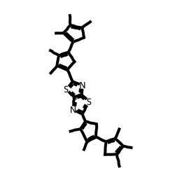 CC1=C(C)C(C)=C(C2=C(C)C(C)=C(c3nc4sc(C5=C(C)C(C)=C(C6=C(C)C(C)=C(C)C6)C5)nc4s3)C2)C1